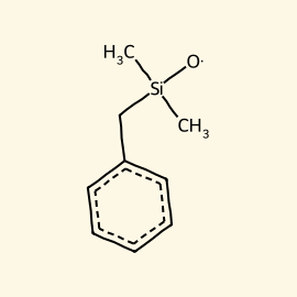 C[Si](C)([O])Cc1ccccc1